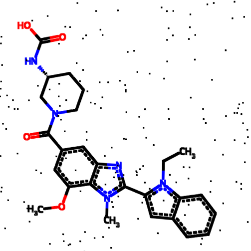 CCn1c(-c2nc3cc(C(=O)N4CCC[C@@H](NC(=O)O)C4)cc(OC)c3n2C)cc2ccccc21